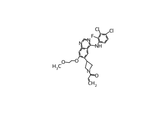 C=CC(=O)N1CC(c2cc3c(Nc4ccc(Cl)c(Cl)c4F)ncnc3cc2OCCOC)C1